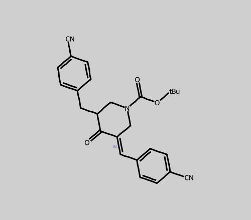 CC(C)(C)OC(=O)N1C/C(=C\c2ccc(C#N)cc2)C(=O)C(Cc2ccc(C#N)cc2)C1